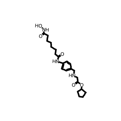 O=C(CCCCCCC(=O)Nc1ccc(CNCC(=O)OC2CCCC2)cc1)NO